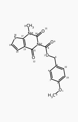 COc1ccc(COC(=O)n2c(=O)c3ccsc3n(C)c2=O)cc1